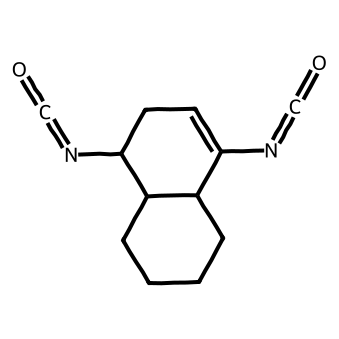 O=C=NC1=CCC(N=C=O)C2CCCCC12